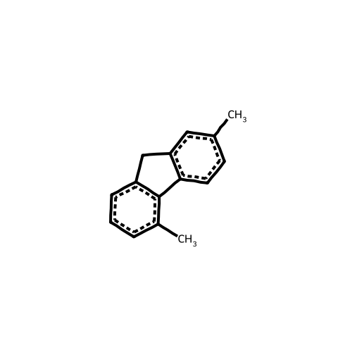 Cc1ccc2c(c1)Cc1cccc(C)c1-2